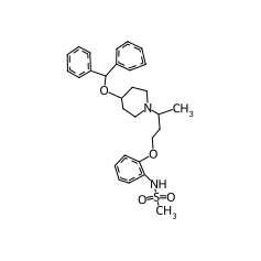 CC(CCOc1ccccc1NS(C)(=O)=O)N1CCC(OC(c2ccccc2)c2ccccc2)CC1